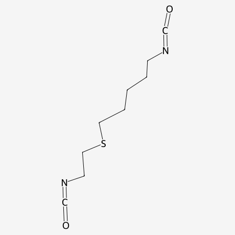 O=C=NCCCCCSCCN=C=O